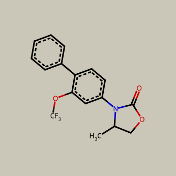 CC1COC(=O)N1c1ccc(-c2ccccc2)c(OC(F)(F)F)c1